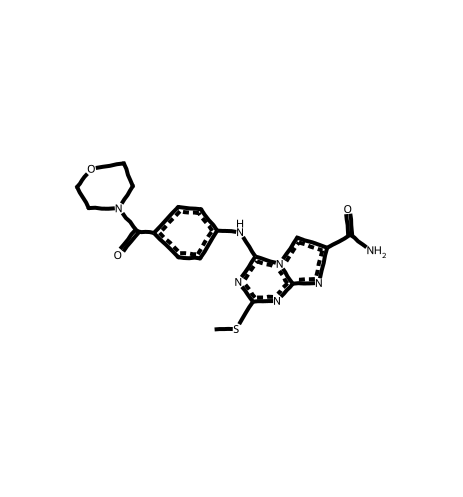 CSc1nc(Nc2ccc(C(=O)N3CCOCC3)cc2)n2cc(C(N)=O)nc2n1